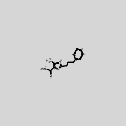 COC(=O)c1nc(CCCc2ccccc2)oc1C